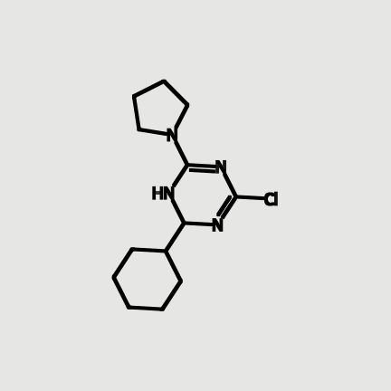 ClC1=NC(C2CCCCC2)NC(N2CCCC2)=N1